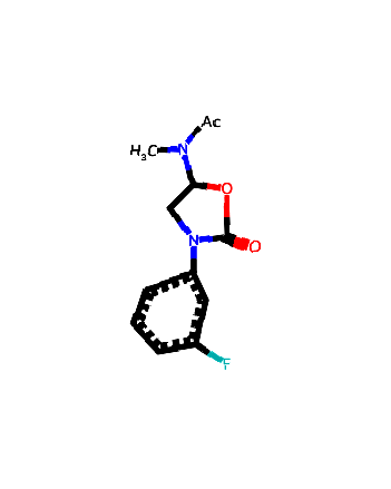 CC(=O)N(C)C1CN(c2cccc(F)c2)C(=O)O1